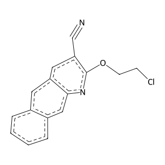 N#Cc1cc2cc3ccccc3cc2nc1OCCCl